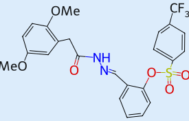 COc1ccc(OC)c(CC(=O)NN=Cc2ccccc2OS(=O)(=O)c2ccc(C(F)(F)F)cc2)c1